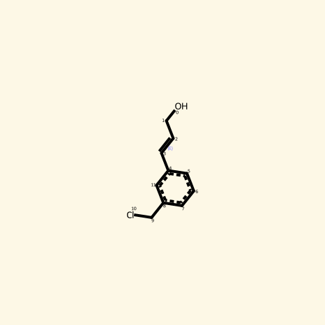 OC/C=C/c1cccc(CCl)c1